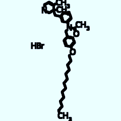 Br.CCCCCCCCCCCCCCOc1ccc(CN(C(C)=O)c2cccc(CC3(C)CN=CC=C3C)c2)cc1